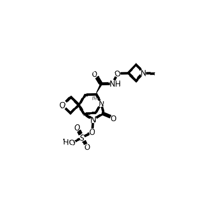 CN1CC(ONC(=O)[C@@H]2CC3(COC3)C3CN2C(=O)N3OS(=O)(=O)O)C1